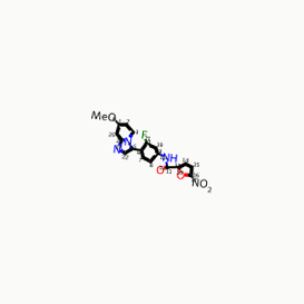 COc1ccn2c(-c3ccc(NC(=O)c4ccc([N+](=O)[O-])o4)cc3F)cnc2c1